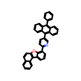 c1ccc(-c2c3ccccc3c(-c3ccc(-c4cccc5c4oc4ccc6ccccc6c45)nc3)c3ccccc23)cc1